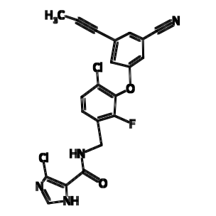 CC#Cc1cc(C#N)cc(Oc2c(Cl)ccc(CNC(=O)c3[nH]cnc3Cl)c2F)c1